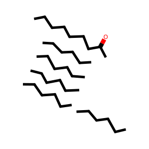 CCCCCC.CCCCCC.CCCCCC.CCCCCC.CCCCCC.CCCCCCCC(C)=O